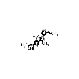 CCCc1cc(-n2nc(C)c(-c3ccc(NCC(C)C)nc3)c2C)ccn1